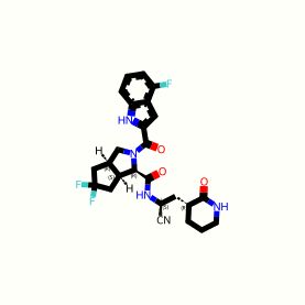 N#C[C@H](C[C@H]1CCCNC1=O)NC(=O)[C@H]1[C@H]2CC(F)(F)C[C@H]2CN1C(=O)c1cc2c(F)cccc2[nH]1